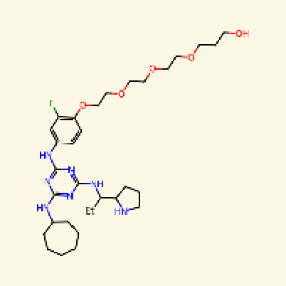 CCC(Nc1nc(Nc2ccc(OCCOCCOCCOCCCO)c(F)c2)nc(NC2CCCCCC2)n1)C1CCCN1